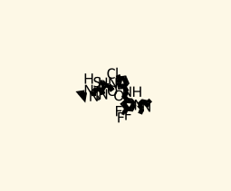 Cc1cn(-c2cc(C(=O)Nc3ccc(Cl)c(NC(=O)c4csc5c(NC6CC6)ncnc45)c3)cc(C(F)(F)F)c2)c(C)n1